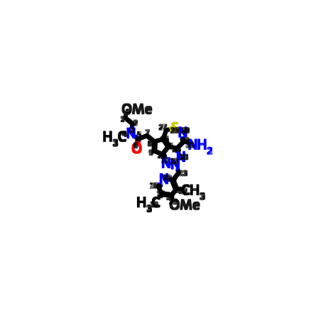 COCCN(C)C(=O)Cc1cc2nn(Cc3ncc(C)c(OC)c3C)nc3c-2c1CSN=C3N